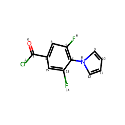 O=C(Cl)c1cc(F)c(-n2cccc2)c(F)c1